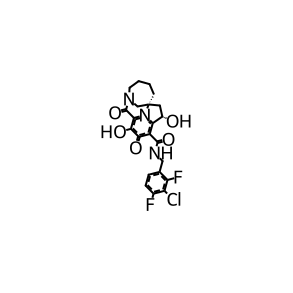 O=C(NCc1ccc(F)c(Cl)c1F)c1c2n3c(c(O)c1=O)C(=O)N1CCCC[C@@]3(C[C@@H]2O)C1